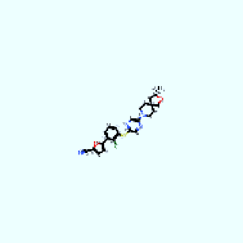 C[C@H]1CC2(CCN(c3cnc(Sc4cccc(-c5ccc(C#N)o5)c4Cl)cn3)CC2)CO1